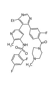 CCc1ncnc(-c2ccc(C(=O)N3CCN(C)CC3)c(F)c2)c1-c1cnc(C)c(NS(=O)(=O)c2ccc(F)cc2F)c1